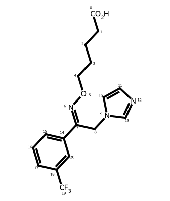 O=C(O)CCCCON=C(Cn1ccnc1)c1cccc(C(F)(F)F)c1